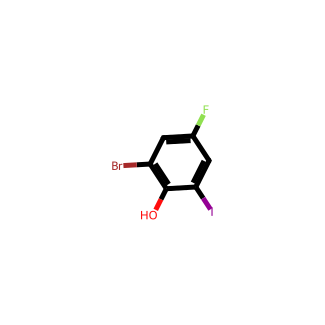 Oc1c(Br)cc(F)cc1I